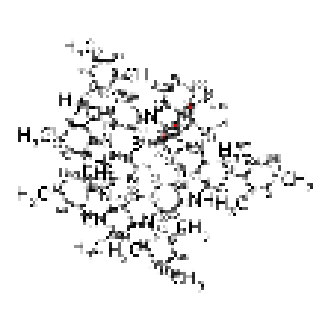 Cc1cc(C)c(-c2cc3c4c(c2)-n2c5ccccc5c5cccc(c52)B4c2cc4c(cc2N3)N(c2c(C)cc(C)cc2C)c2cc(C)cc3c2B4c2cc4c(cc2N3c2c(C)cc(C)cc2C)N(c2c(C)cc(C)cc2C)c2cc(-c3c(C)cc(C)cc3C)cc3c2B4c2cccc4c5ccccc5n-3c24)c(C)c1